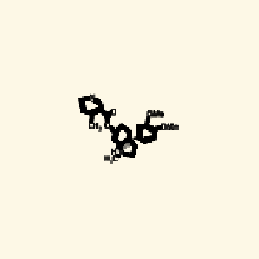 COc1ccc([C@@]23CCC(OC(=O)c4cnccc4C)=C[C@@H]2N(C)CC3)cc1OC